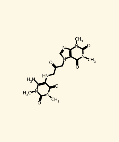 Cn1c(N)c(NCC(=O)Cn2cnc3c2c(=O)n(C)c(=O)n3C)c(=O)n(C)c1=O